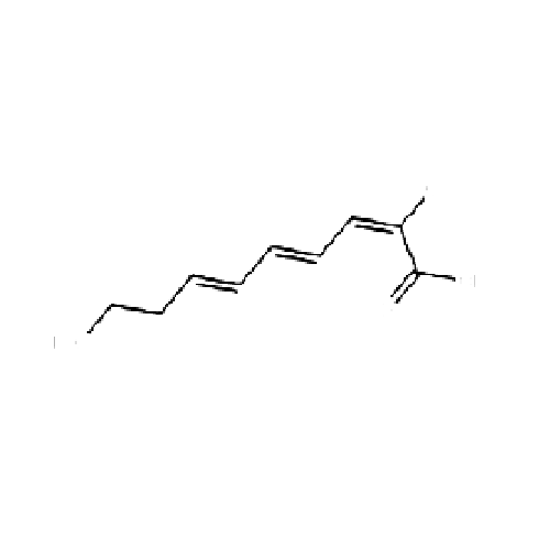 CCCC=CC=CC=C(C)C(=O)O